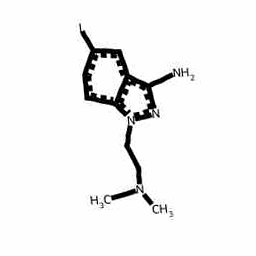 CN(C)CCn1nc(N)c2cc(I)ccc21